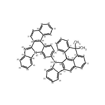 CC1(C)c2ccccc2-c2c3c1cccc3cc1c3ccccc3n(-c3ccc4c5c6ccccc6ccc5c5nc6ccccc6n5c4c3)c21